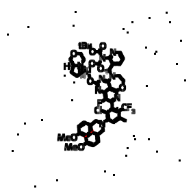 COc1ccc(CN(Cc2ccc(OC)cc2)c2cc(C)c(C(F)(F)F)c(-c3nc4c5c(nc(OC[C@@H]6CC[C@H]7COCCN76)nc5c3F)N([C@H](C)c3cccnc3N(C(=O)OC(C)(C)C)C(=O)OC(C)(C)C)CCO4)c2Cl)cc1